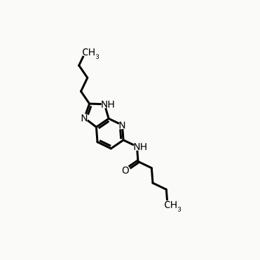 CCCCC(=O)Nc1ccc2nc(CCCC)[nH]c2n1